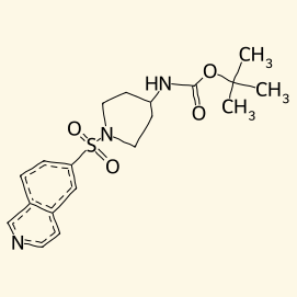 CC(C)(C)OC(=O)NC1CCN(S(=O)(=O)c2ccc3cnccc3c2)CC1